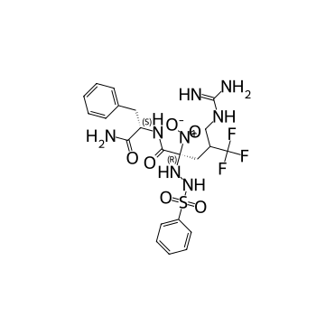 N=C(N)NCC(C[C@](NNS(=O)(=O)c1ccccc1)(C(=O)N[C@@H](Cc1ccccc1)C(N)=O)[N+](=O)[O-])C(F)(F)F